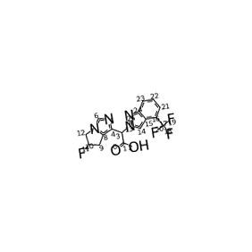 O=C(O)C(c1ncn2c1C[C@@H](F)C2)n1cc2c(C(F)(F)F)cccc2n1